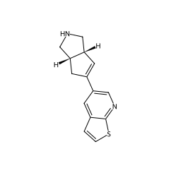 C1=C(c2cnc3sccc3c2)C[C@@H]2CNC[C@H]12